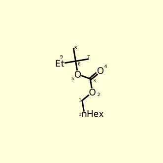 CCCCCCCOC(=O)OC(C)(C)CC